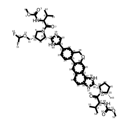 COC(=O)NC(C(=O)N1C[C@@H](COC(F)F)C[C@H]1c1ncc(-c2ccc3c(c2)COc2cc4c(ccc5nc([C@@H]6CC[C@H](C)N6C(=O)[C@@H](NC(=O)OC)C(C)C)[nH]c54)cc2-3)[nH]1)C(C)C